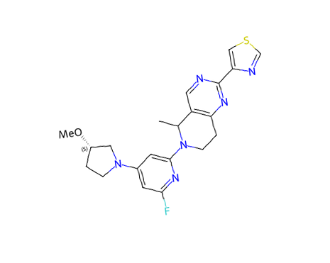 CO[C@H]1CCN(c2cc(F)nc(N3CCc4nc(-c5cscn5)ncc4C3C)c2)C1